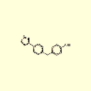 Oc1ccc(Cc2ccc(-c3ccsc3)cc2)cc1